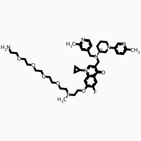 Cc1ccc(N2CCC[C@H](N(Cc3ccnc(C)c3)Cc3cn(C4CC4)c4cc(OCCN(C)CCOCCOCCOCCOCCN)c(F)cc4c3=O)C2)cn1